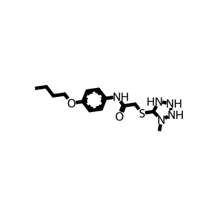 CCCCOc1ccc(NC(=O)CSC2NNNN2C)cc1